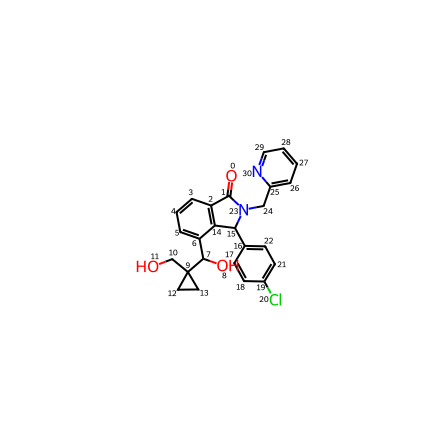 O=C1c2cccc(C(O)C3(CO)CC3)c2C(c2ccc(Cl)cc2)N1Cc1ccccn1